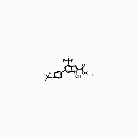 COC(=O)c1cc2c(C(F)(F)F)cc(-c3ccc(OC(F)(F)F)cc3)cc2n1O